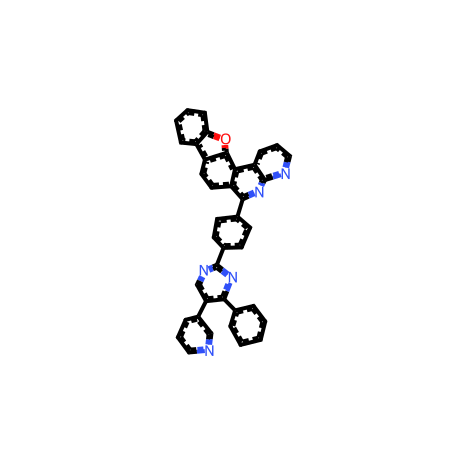 c1ccc(-c2nc(-c3ccc(-c4nc5ncccc5c5c4ccc4c6ccccc6oc45)cc3)ncc2-c2cccnc2)cc1